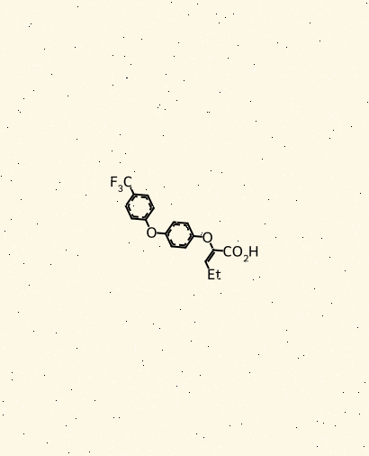 CCC=C(Oc1ccc(Oc2ccc(C(F)(F)F)cc2)cc1)C(=O)O